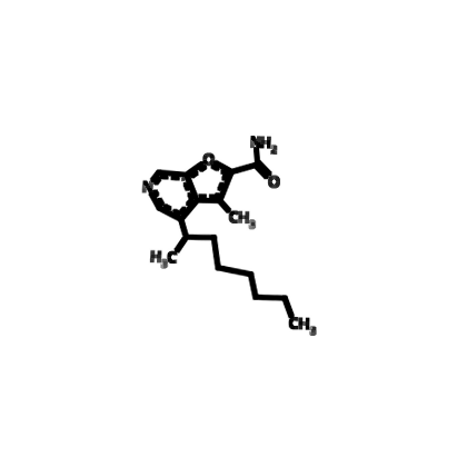 CCCCCCC(C)c1cncc2oc(C(N)=O)c(C)c12